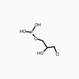 OC(CCl)COP(O)O